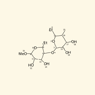 CCC1OC(OC2C(CC)OC(OC)C(O)C2O)C(O)C(O)C1C